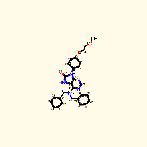 COCCOc1[c]cc(-n2c(=O)[nH]c3c(N(Cc4ccccc4)Cc4ccccc4)ncnc32)cc1